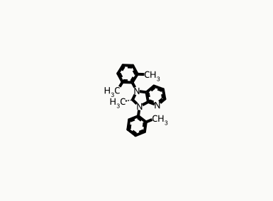 Cc1ccccc1N1c2ncccc2N(c2c(C)cccc2C)[C@H]1C